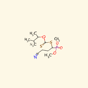 COP(=O)(OC)C(CCC#N)SC(=S)OC(C)C(C)C